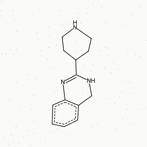 c1ccc2c(c1)CNC(C1CCNCC1)=N2